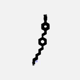 N#Cc1ccc(CC[C@H]2CC[C@H](CCCC/C=C/F)CC2)cc1